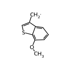 [CH2]c1csc2c(OC)cccc12